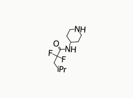 CC(C)CC(F)(F)C(=O)NC1CCNCC1